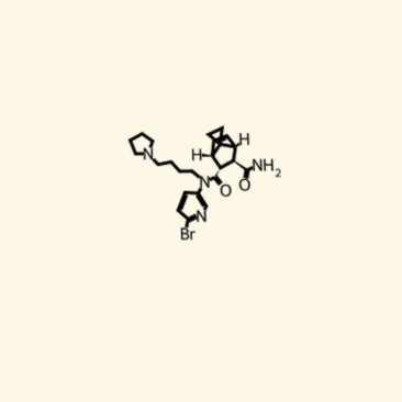 NC(=O)[C@H]1[C@H](C(=O)N(CCCCN2CCCC2)c2ccc(Br)nc2)[C@@H]2C=C[C@H]1C21CC1